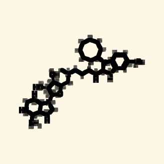 CN(CCCNC1Nc2cc(C(C)(C)C)ccc2N1C1CCCCCCC1)C[C@H]1O[C@@H](N2CNC3C(N)NCNC32)[C@H](O)[C@@H]1O